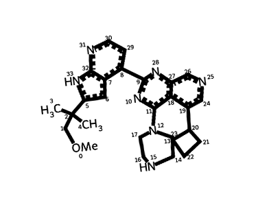 COCC(C)(C)c1cc2c(-c3nc(N4CCNCC4)c4c(C5CCC5)cncc4n3)ccnc2[nH]1